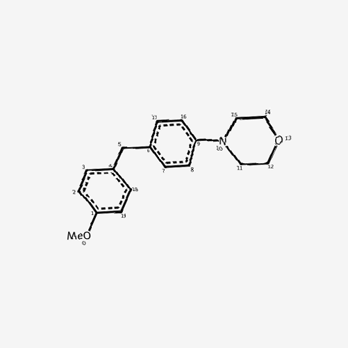 COc1ccc(Cc2ccc(N3CCOCC3)cc2)cc1